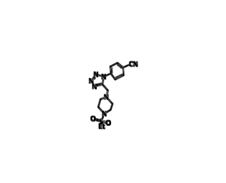 CCS(=O)(=O)N1CCN(Cc2nnnn2-c2ccc(C#N)cc2)CC1